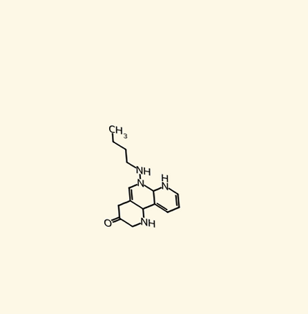 CCCCNN1C=C2CC(=O)CNC2C2=CC=CNC21